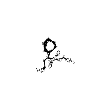 C=CCC(c1ccccc1)S(=O)(=O)OCC